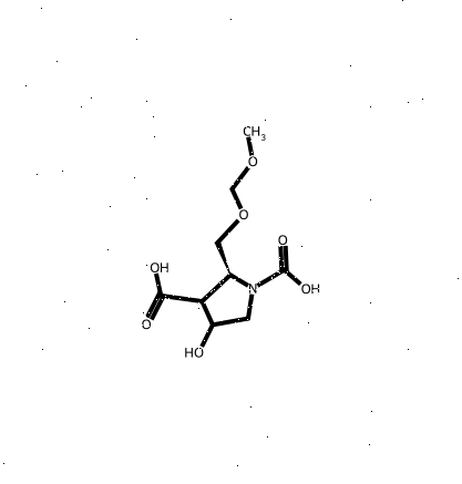 COCOC[C@@H]1C(C(=O)O)C(O)CN1C(=O)O